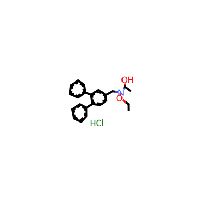 CCON(Cc1ccc(-c2ccccc2)c(-c2ccccc2)c1)C(C)O.Cl